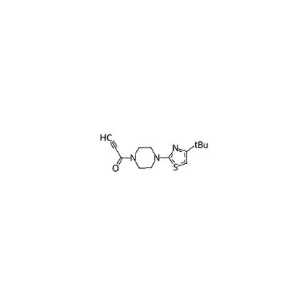 C#CC(=O)N1CCN(c2nc(C(C)(C)C)cs2)CC1